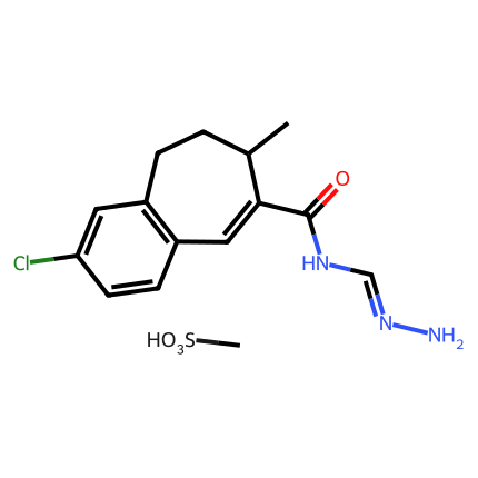 CC1CCc2cc(Cl)ccc2C=C1C(=O)NC=NN.CS(=O)(=O)O